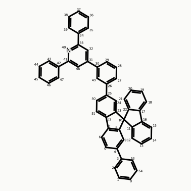 c1ccc(-c2ccc3c(c2)C2(c4ccccc4-c4ccccc42)c2cc(-c4cccc(-c5cc(-c6ccccc6)nc(-c6ccccc6)c5)c4)ccc2-3)cc1